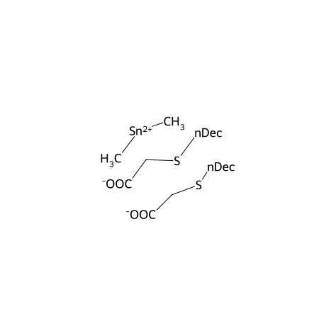 CCCCCCCCCCSCC(=O)[O-].CCCCCCCCCCSCC(=O)[O-].[CH3][Sn+2][CH3]